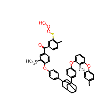 Cc1ccc(Oc2cccc(Oc3ccc(C45CC6CC(CC(c7ccc(Oc8ccc(C(=O)c9ccc(C)c(SOOO)c9)cc8S(=O)(=O)O)cc7)(C6)C4)C5)cc3)c2C#N)cc1